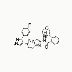 Cn1cc(-c2ccc3nc(NC(=O)c4ccccc4C4COCCN4)cn3n2)c(-c2ccc(F)cc2)n1